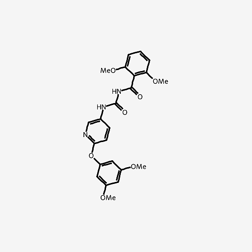 COc1cc(OC)cc(Oc2ccc(NC(=O)NC(=O)c3c(OC)cccc3OC)cn2)c1